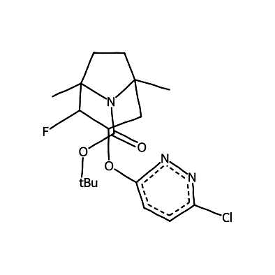 CC(C)(C)OC(=O)N1C2(C)CCC1(C)C(F)C(Oc1ccc(Cl)nn1)C2